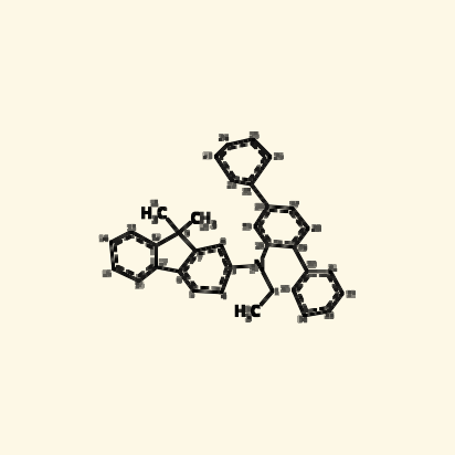 CCN(c1ccc2c(c1)C(C)(C)c1ccccc1-2)c1cc(-c2ccccc2)ccc1-c1ccccc1